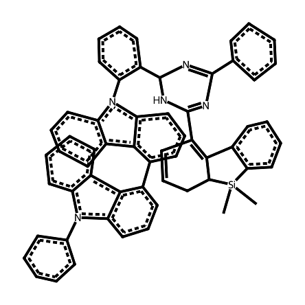 C[Si]1(C)c2ccccc2C2=C(C3=NC(c4ccccc4)=NC(c4ccccc4-n4c5ccccc5c5c(-c6cccc7c6c6ccccc6n7-c6ccccc6)cccc54)N3)C=CCC21